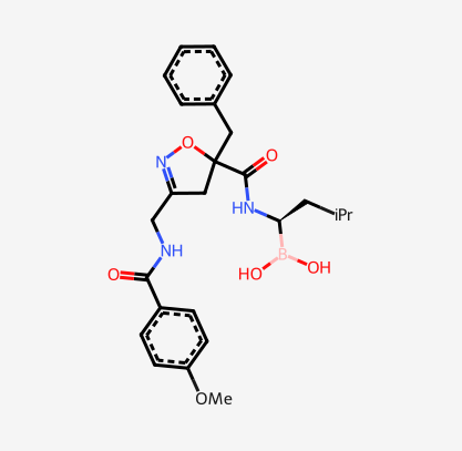 COc1ccc(C(=O)NCC2=NOC(Cc3ccccc3)(C(=O)N[C@@H](CC(C)C)B(O)O)C2)cc1